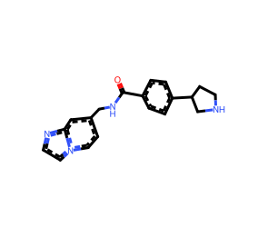 O=C(NCc1ccn2ccnc2c1)c1ccc(C2CCNC2)cc1